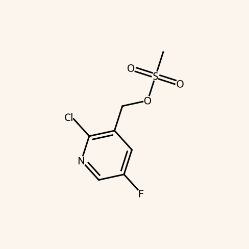 CS(=O)(=O)OCc1cc(F)cnc1Cl